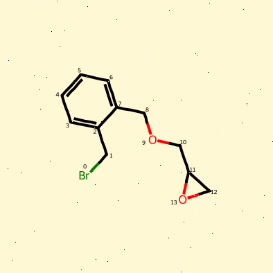 BrCc1ccccc1COCC1CO1